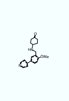 COc1ccc(-c2ccncc2)cc1CNC1CCC(=O)CC1